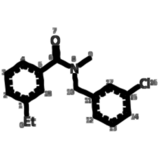 CCc1cccc(C(=O)N(C)Cc2cccc(Cl)c2)c1